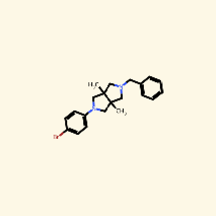 CC12CN(Cc3ccccc3)CC1(C)CN(c1ccc(Br)cc1)C2